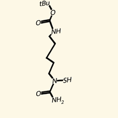 CC(C)(C)OC(=O)NCCCCCN(S)C(N)=O